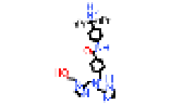 CCCC(N)(CCC)c1ccc(NC(=O)c2ccc(CN(Cc3ncc[nH]3)Cc3nccn3CCO)cc2)cc1